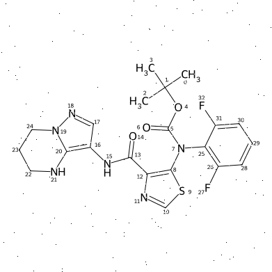 CC(C)(C)OC(=O)N(c1scnc1C(=O)Nc1cnn2c1NCCC2)c1c(F)cccc1F